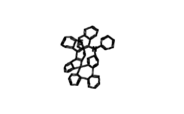 c1ccc(N(c2ccc3c(c2)C2(c4ccccc4-c4ccccc4-3)c3ccccc3-c3c2ccc2sc4ccccc4c32)c2cccc3ccccc23)cc1